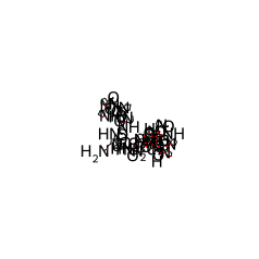 NCCCC[C@H](NC(=O)CNC(=O)[C@@H]1CCCN1C(=O)[C@@H]1CCCN1C(=O)CNC(=O)[C@@H]1CCCN1C(=O)[C@@H]1CCCN1)C(=O)N1CCC[C@H]1C(=O)NCC(=O)N1CCC[C@H]1C(=O)N1CCC[C@H]1C(=O)NCC(=O)N1CCC[C@H]1C(=O)N1CCC[C@H]1C(=O)NCC(=O)N1CCC[C@H]1C(=O)N1CCC[C@H]1C(=O)NCC(=O)N1CCC[C@H]1C(=O)N1CCC[C@H]1C(=O)NCC(=O)O